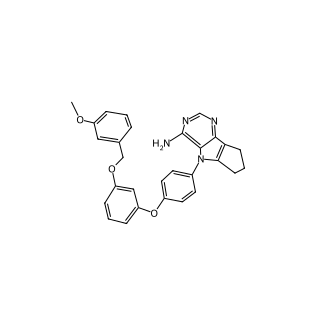 COc1cccc(COc2cccc(Oc3ccc(-n4c5c(c6ncnc(N)c64)CCC5)cc3)c2)c1